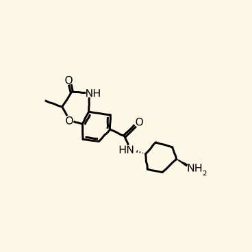 CC1Oc2ccc(C(=O)N[C@H]3CC[C@H](N)CC3)cc2NC1=O